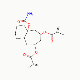 C=C(C)C(=O)OC1CC(OC(=O)C(=C)C)CC2(OC(N)=O)CCCCC2C1